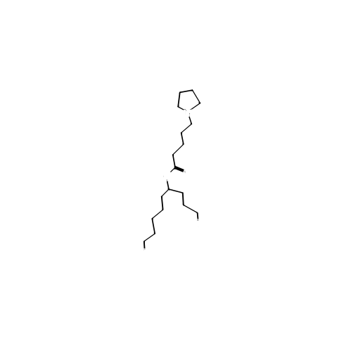 CCCCCCC(CCCO)OC(=O)CCCCN1CCCC1